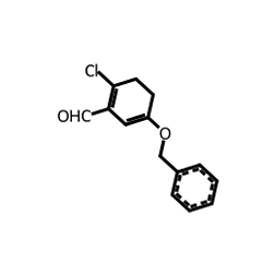 O=CC1=C(Cl)CCC(OCc2ccccc2)=C1